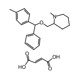 Cc1ccc(C(OCC2CCCCN2C)c2ccccc2)cc1.O=C(O)C=CC(=O)O